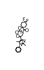 Cc1nc(C(=O)CN2C(=O)OC3(CCC(F)(F)CC3)C2=O)c(C)n1-c1ccccc1